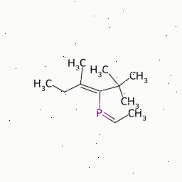 C/C=P\C(=C(\C)CC)C(C)(C)C